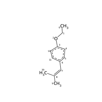 CCOc1ccc(C=C(C)C)cc1